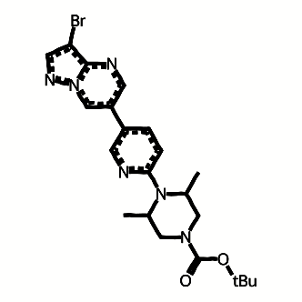 CC1CN(C(=O)OC(C)(C)C)CC(C)N1c1ccc(-c2cnc3c(Br)cnn3c2)cn1